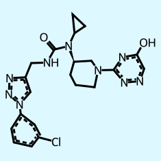 O=C(NCc1cn(-c2cccc(Cl)c2)nn1)N(C1CC1)[C@@H]1CCCN(c2nncc(O)n2)C1